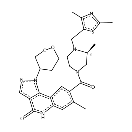 Cc1nc(C)c(CN2CCN(C(=O)c3cc4c(cc3C)[nH]c(=O)c3cnn(C5CCOCC5)c34)C[C@@H]2C)s1